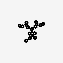 c1ccc(-c2ccc(N(c3ccccc3)c3c4ccccc4c(-c4cc(-c5ccc6c(c5)c5ccccc5n6-c5ccc6ccccc6c5)cc(-c5ccc6c(c5)c5ccccc5n6-c5ccc6ccccc6c5)c4)c4ccccc34)cc2)cc1